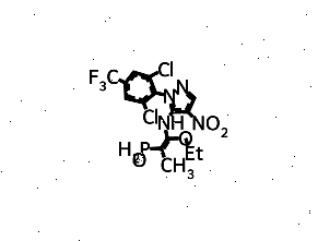 CCOC(Nc1c([N+](=O)[O-])cnn1-c1c(Cl)cc(C(F)(F)F)cc1Cl)=C(C)[PH2]=O